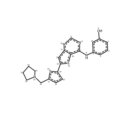 Oc1cccc(Nc2ncnc3cc(-c4ccc(CN5CCCC5)s4)sc23)c1